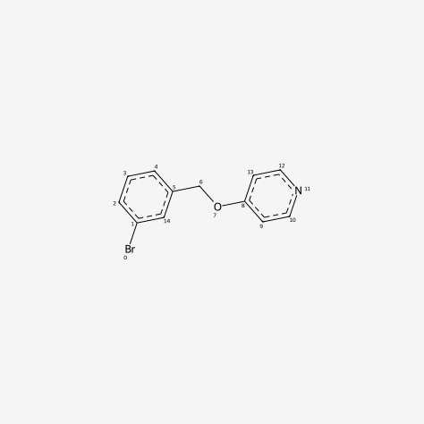 Brc1cccc(COc2ccncc2)c1